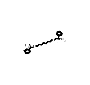 C[C@](N)(COCCCCCCCCOC[C@@H](N)c1ccccc1)c1ccccc1